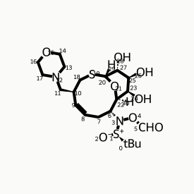 CC(C)(C)[S@@+]([O-])N(OC=O)[C@@H]1C/C=C\[C@@H](CN2CCOCC2)CS[C@H]2O[C@H]1[C@H](O)[C@H](O)[C@H]2O